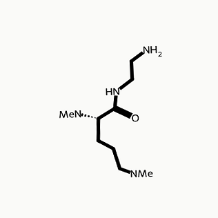 CNCCC[C@H](NC)C(=O)NCCN